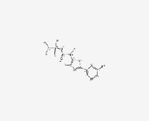 Cc1nc(-c2cncc(F)c2)sc1N(C)C(=O)OC(C)(C)C(C)C